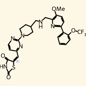 COc1ccc(-c2ccccc2OC(F)(F)F)nc1CNCC1CCN(c2nccc(/C=C3/SC(=O)NC3=O)n2)CC1